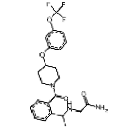 CC(NCC(N)=O)c1ccccc1C(=O)N1CCC(Oc2cccc(OC(F)(F)F)c2)CC1